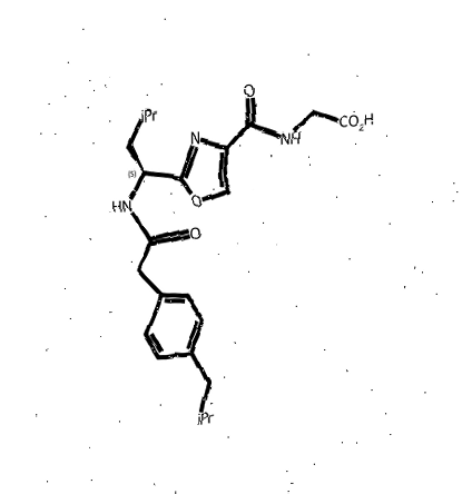 CC(C)Cc1ccc(CC(=O)N[C@@H](CC(C)C)c2nc(C(=O)NCC(=O)O)co2)cc1